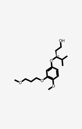 COCCCOc1cc(O[C@@H](CCO)C(C)C)ccc1OC